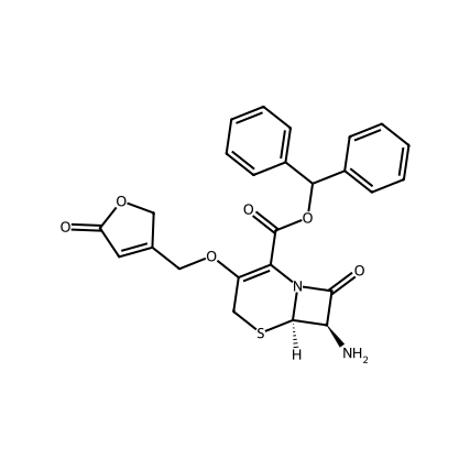 N[C@@H]1C(=O)N2C(C(=O)OC(c3ccccc3)c3ccccc3)=C(OCC3=CC(=O)OC3)CS[C@H]12